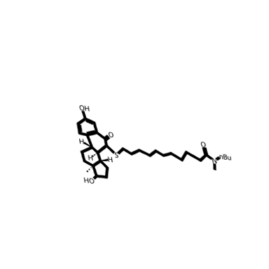 CCCCN(C)C(=O)CCCCCCCCCCSC1C(=O)c2cc(O)ccc2[C@H]2CC[C@]3(C)C(O)CC[C@H]3[C@H]12